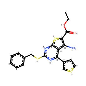 CCOC(=O)c1sc2nc(SCc3ccccc3)nc(-c3ccsc3)c2c1N